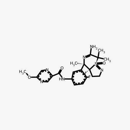 COc1cnc(C(=O)Nc2ccc(F)c([C@@]3(C)N=C(N)C(C)(C)[S@@]4(=O)=NCC[C@@H]34)c2)cn1